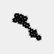 CC1(C)c2cc(/C=C/c3ccc4cc(N(c5ccccc5)c5ccc6c(c5)C(c5ccccc5)(c5ccccc5)c5ccccc5-6)ccc4c3)cc3ccc4cc(-c5ccccc5)cc1c4c23